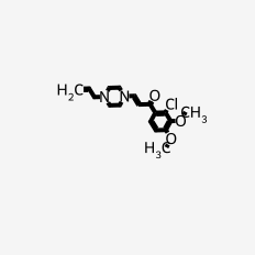 C=CCN1CCN(C=CC(=O)c2ccc(OC)c(OC)c2Cl)CC1